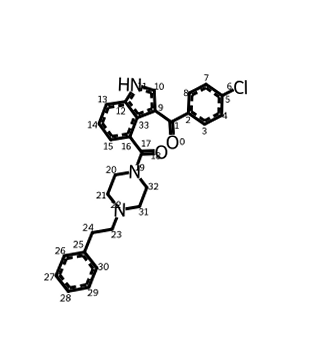 O=C(c1ccc(Cl)cc1)c1c[nH]c2cccc(C(=O)N3CCN(CCc4ccccc4)CC3)c12